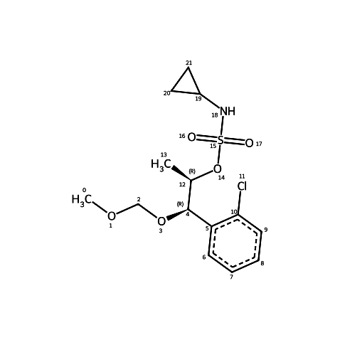 COCO[C@H](c1ccccc1Cl)[C@@H](C)OS(=O)(=O)NC1CC1